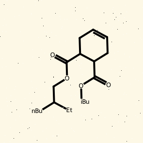 CCCCC(CC)COC(=O)C1CC=CCC1C(=O)OC(C)CC